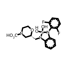 O=C(O)N1CCO[C@H](CN2c3ccccc3N(c3c(F)cccc3F)S2(O)O)C1